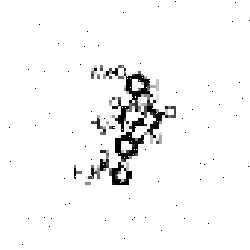 C=CC(=O)Nc1cc(OC)ccc1Nc1nc(Nc2ccc(N3CCC[C@@H]3C(N)=O)cc2C#N)ncc1Cl